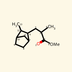 COC(=O)C(C)CC1C2CCC(C2)C1C